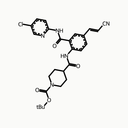 CC(C)(C)OC(=O)N1CCC(C(=O)Nc2ccc(/C=C/C#N)cc2C(=O)Nc2ccc(Cl)cn2)CC1